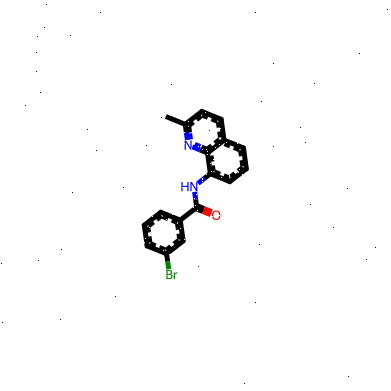 Cc1ccc2cccc(NC(=O)c3cccc(Br)c3)c2n1